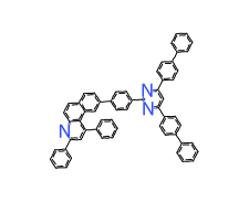 c1ccc(-c2ccc(-c3cc(-c4ccc(-c5ccccc5)cc4)nc(-c4ccc(-c5ccc6ccc7nc(-c8ccccc8)cc(-c8ccccc8)c7c6c5)cc4)n3)cc2)cc1